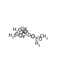 COc1ccc(F)c(-c2cc(COc3ccc([C@H](C)CC(C)=O)cc3)ccc2C(C)(C)C)c1